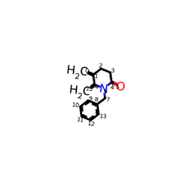 C=C1CCC(=O)N(Cc2ccccc2)C1=C